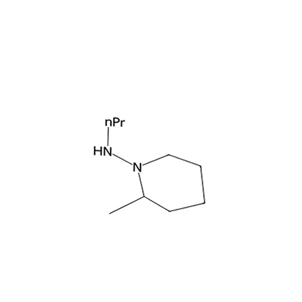 CCCNN1CCCCC1C